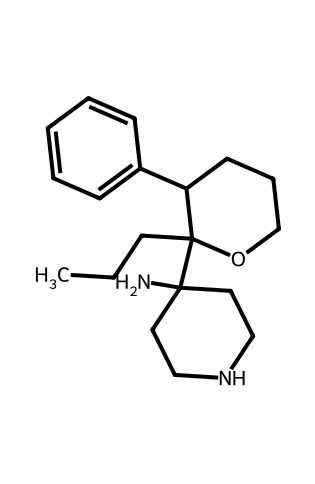 CCCC1(C2(N)CCNCC2)OCCCC1c1ccccc1